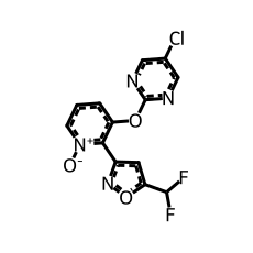 [O-][n+]1cccc(Oc2ncc(Cl)cn2)c1-c1cc(C(F)F)on1